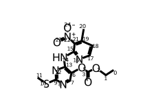 CCOC(=O)Oc1cnc(SC)nc1Nc1nccc(C)c1[N+](=O)[O-]